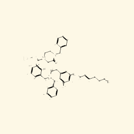 CC(C)(C)OC(=O)N1CCN(Cc2ccccc2)C(=O)[C@@H]1C[C@H](Cc1cc(F)cc(OCC=CCCCBr)c1)N(Cc1ccccc1)Cc1ccccc1